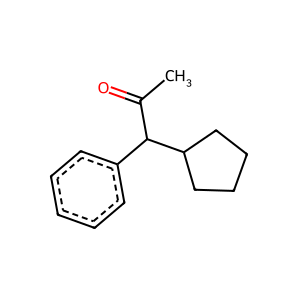 CC(=O)C(c1ccccc1)C1CCCC1